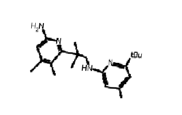 Cc1cc(NCC(C)(C)c2nc(N)cc(C)c2C)nc(C(C)(C)C)c1